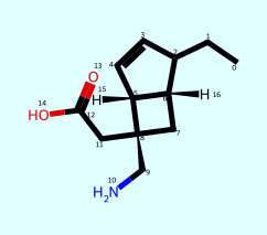 CCC1C=C[C@@H]2[C@H]1C[C@]2(CN)CC(=O)O